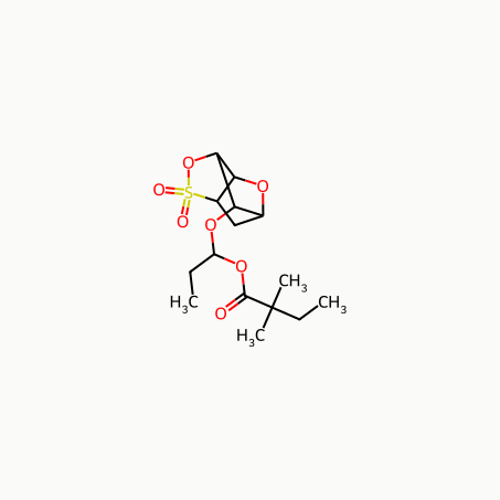 CCC(OC(=O)C(C)(C)CC)OC1C2CC3C(O2)C1OS3(=O)=O